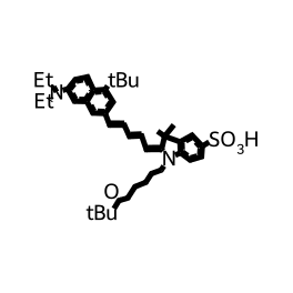 CCN(CC)c1ccc2c(C(C)(C)C)cc(/C=C/C=C/C=C3/N(CCCCCC(=O)C(C)(C)C)c4ccc(S(=O)(=O)O)cc4C3(C)C)cc2c1